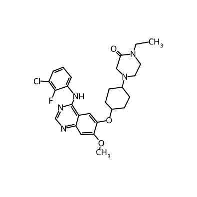 CCN1CCN(C2CCC(Oc3cc4c(Nc5cccc(Cl)c5F)ncnc4cc3OC)CC2)CC1=O